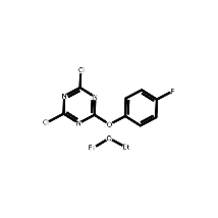 CCOCC.Fc1ccc(Oc2nc(Cl)nc(Cl)n2)cc1